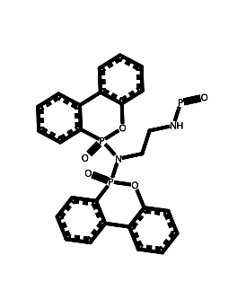 O=PNCCN(P1(=O)Oc2ccccc2-c2ccccc21)P1(=O)Oc2ccccc2-c2ccccc21